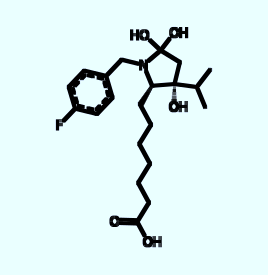 CC(C)[C@]1(O)CC(O)(O)N(Cc2ccc(F)cc2)[C@@H]1CCCCCCC(=O)O